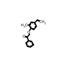 C=Cc1ccc(OCC(=O)c2ccccc2)c(C)c1